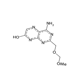 COCOCc1nc(N)c2ncc(O)nc2n1